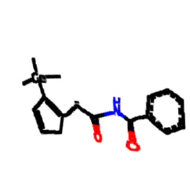 [CH3][Ge]([CH3])([CH3])[C]1=C([C]C(=O)NC(=O)c2ccccc2)CC=C1